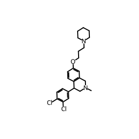 CN1Cc2cc(OCCCN3CCCCC3)ccc2C(c2ccc(Cl)c(Cl)c2)C1